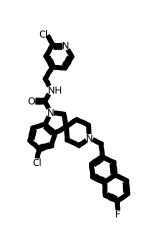 O=C(NCc1ccnc(Cl)c1)N1CC2(CCN(Cc3ccc4cc(F)ccc4c3)CC2)c2cc(Cl)ccc21